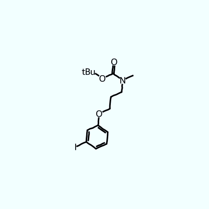 CN(CCCOc1cccc(I)c1)C(=O)OC(C)(C)C